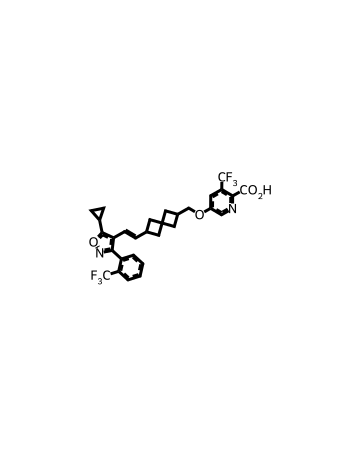 O=C(O)c1ncc(OCC2CC3(CC(C=Cc4c(-c5ccccc5C(F)(F)F)noc4C4CC4)C3)C2)cc1C(F)(F)F